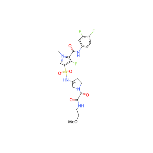 COCCNC(=O)C(=O)N1CC[C@@H](NS(=O)(=O)c2cn(C)c(C(=O)Nc3ccc(F)c(F)c3)c2F)C1